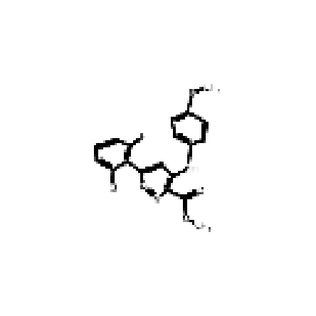 COC(=O)c1nnc(-c2c(F)cccc2Cl)cc1Nc1ccc(SC)cc1